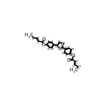 CC/C=C/C(=O)Oc1ccc(-c2cnc(-c3ccc(OC(=O)/C=C/CC)cc3)s2)cc1